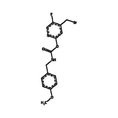 COc1ccc(CNC(=O)Oc2cc(CBr)c(F)cn2)cc1